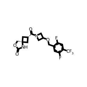 O=C1N[C@]2(CO1)C[C@@H](C(=O)N1CC(OCc3cc(F)c(C(F)(F)F)cc3F)C1)C2